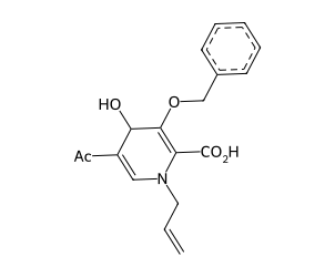 C=CCN1C=C(C(C)=O)C(O)C(OCc2ccccc2)=C1C(=O)O